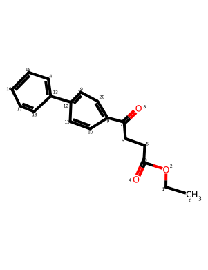 CCOC(=O)CCC(=O)c1ccc(-c2ccccc2)cc1